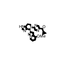 COc1cccn2nc([C@H]3c4nc[nH]c4CCN3c3cnc(C(=O)C4CC4)cn3)cc12